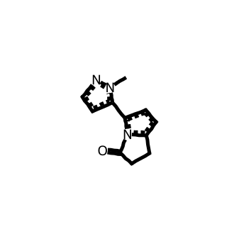 Cn1nccc1-c1ccc2n1C(=O)CC2